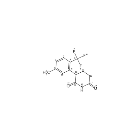 Cc1ccc(C(F)(F)F)c(C2CCC(=O)NC2=O)c1